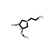 CCCN1C[C@H](O)[C@H](OC)C1